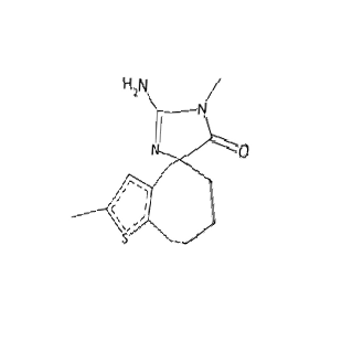 Cc1cc2c(s1)CCCC21N=C(N)N(C)C1=O